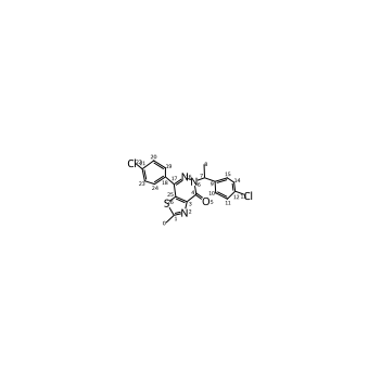 Cc1nc2c(=O)n(C(C)c3ccc(Cl)cc3)nc(-c3ccc(Cl)cc3)c2s1